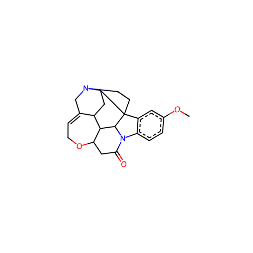 COc1ccc2c(c1)C13CCN4CC5=CCOC6CC(=O)N2C1C6C5CC43